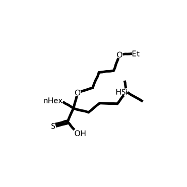 CCCCCCC(CCC[SiH](C)C)(OCCCOCC)C(O)=S